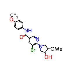 COC1CN(c2ncc(C(=O)Nc3ccc(OC(F)(F)F)cc3)cc2Br)CC1O